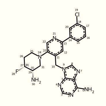 Nc1ncnc2c1ncn2Cc1cc(-c2cccc(Cl)c2)ncc1N1CC[C@@H](F)[C@@H](N)C1